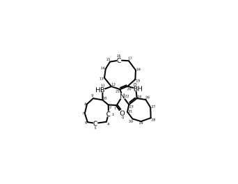 O=C1C2CCCCCCCC2BC2CCCCCCCC3=C2N1C1=C(B3)CCCCCC1